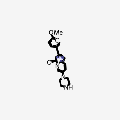 COc1ccc(C2=C\C(=O)N3C=C(N4CCNCC4)C=C\C3=C/C=C/2)cc1